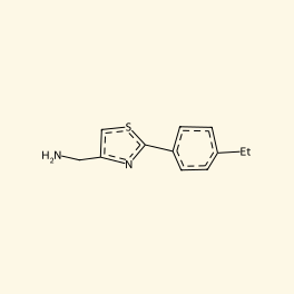 CCc1ccc(-c2nc(CN)cs2)cc1